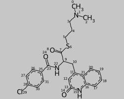 CN(C)CCCSC(=O)C(Cc1cc(=O)[nH]c2ccccc12)NC(=O)c1ccc(Cl)cc1